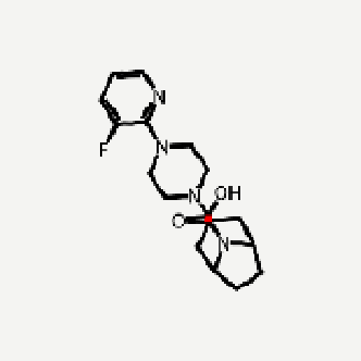 O=C(O)N1C2CCC1CC(N1CCN(c3ncccc3F)CC1)C2